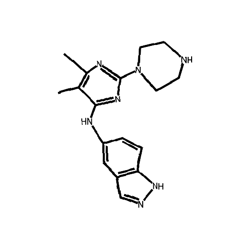 Cc1nc(N2CCNCC2)nc(Nc2ccc3[nH]ncc3c2)c1C